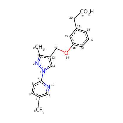 Cc1nn(-c2ccc(C(F)(F)F)cn2)cc1COc1cccc(CC(=O)O)c1